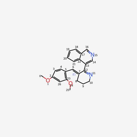 COc1ccc(/C=C2\CCCN=C2c2cncc3ccccc23)c(OC)c1